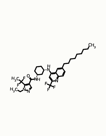 CCCCCCCCCc1ccc2nc(C(F)(F)F)cc(N[C@H]3CCC[C@@H](NC(=O)c4cnn(CC)c4C(C)(F)F)C3)c2c1